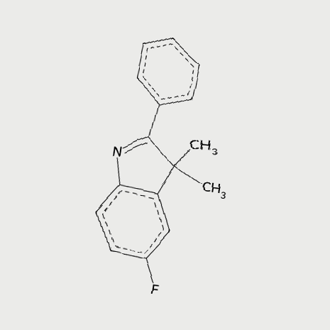 CC1(C)C(c2ccccc2)=Nc2ccc(F)cc21